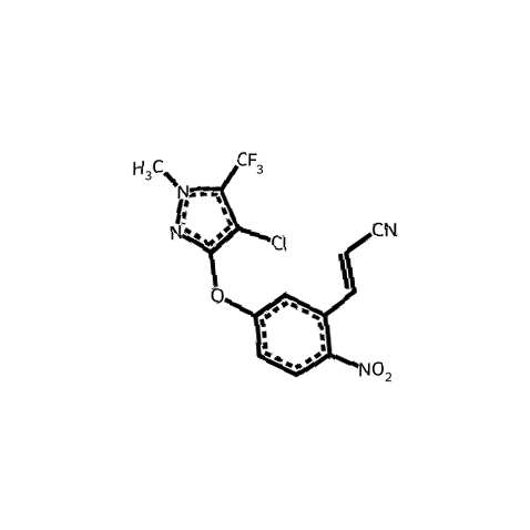 Cn1nc(Oc2ccc([N+](=O)[O-])c(C=CC#N)c2)c(Cl)c1C(F)(F)F